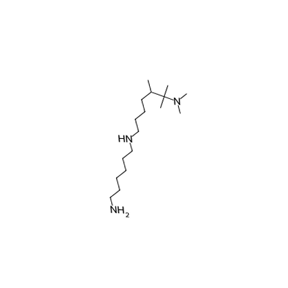 CC(CCCCNCCCCCCN)C(C)(C)N(C)C